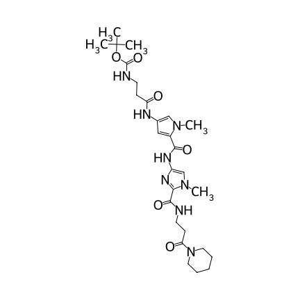 Cn1cc(NC(=O)CCNC(=O)OC(C)(C)C)cc1C(=O)Nc1cn(C)c(C(=O)NCCC(=O)N2CCCCC2)n1